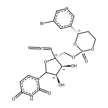 [N-]=[N+]=N[C@]1(COP2(=O)OCC[C@@H](c3cncc(Br)c3)O2)OC(n2ccc(=O)[nH]c2=O)[C@H](O)[C@@H]1O